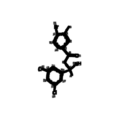 Cc1cc(C(=O)CC(C)(S)c2cc(Cl)cc(Cl)c2)ccc1Br